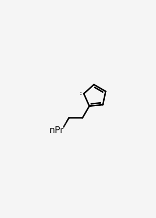 CCCCCC1=CC=C[C]1